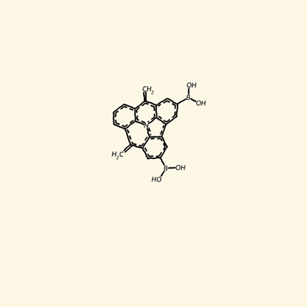 C=c1c2cccc3c(=C)c4cc(B(O)O)cc5c6cc(B(O)O)cc1c6n(c23)c45